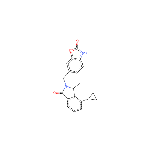 CC1c2c(cccc2C2CC2)C(=O)N1Cc1ccc2[nH]c(=O)oc2c1